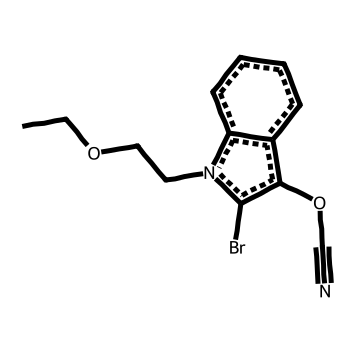 CCOCCn1c(Br)c(OC#N)c2ccccc21